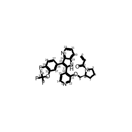 C=CC(=O)N1CCC[C@H]1COc1cnccc1-c1[nH]c2cccnc2c1-c1ccc(F)c(OC(F)(F)F)c1